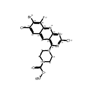 CC(C)(C)OC(=O)N1CCN(c2nc(Cl)nc3nc4c(F)c(Br)c(Cl)cc4cc23)CC1